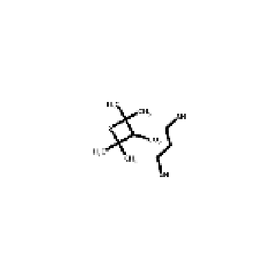 CC1(C)SC(C)(C)C1C(=O)O.SCCCS